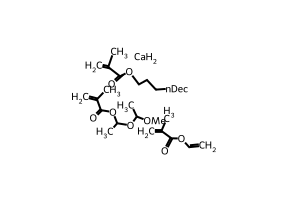 C=C(C)C(=O)OC(C)OC(C)OC.C=C(C)C(=O)OCCCCCCCCCCCCC.C=COC(=O)C(=C)C.[CaH2]